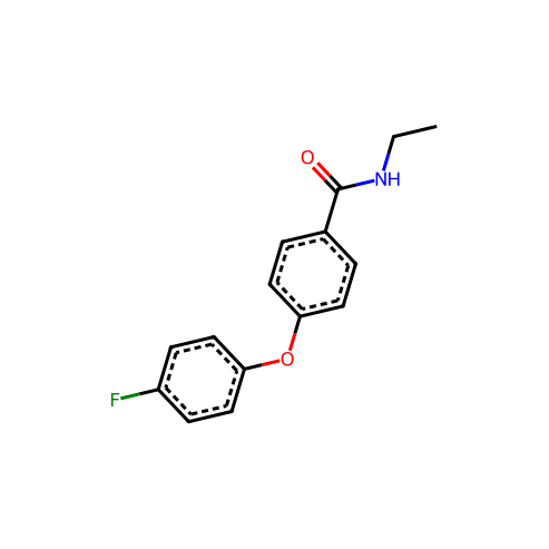 CCNC(=O)c1ccc(Oc2ccc(F)cc2)cc1